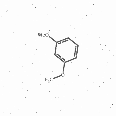 COc1cc[c]c(OC(F)(F)F)c1